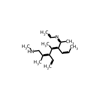 C=C/N=C(/C)C(/C=C\C)=C(C)/C(C=C)=C(/C)CNC